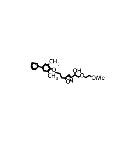 COCCOCC(O)c1cc(CCCOc2c(C)cc(-c3ccccc3)cc2C)on1